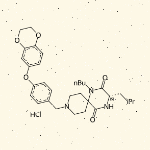 CCCCN1C(=O)[C@H](CC(C)C)NC(=O)C12CCN(Cc1ccc(Oc3ccc4c(c3)OCCO4)cc1)CC2.Cl